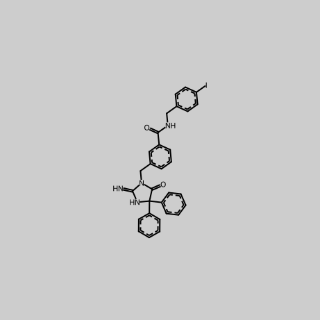 N=C1NC(c2ccccc2)(c2ccccc2)C(=O)N1Cc1cccc(C(=O)NCc2ccc(I)cc2)c1